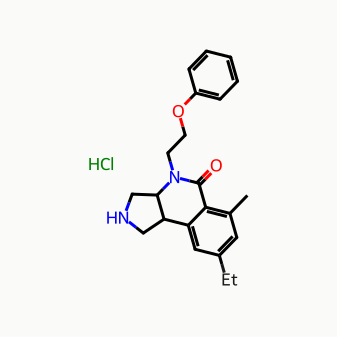 CCc1cc(C)c2c(c1)C1CNCC1N(CCOc1ccccc1)C2=O.Cl